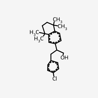 CC1(C)CCC(C)(C)c2cc(C(CO)Cc3ccc(Cl)cc3)ccc21